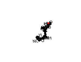 CC(C)(N/C=C(/C#CC1CN(c2cc3c(c4c2OCO4)CN(C2CCC(=O)NC2=O)C3=O)C1)C=N)C(=O)Nc1ccc(C#N)c2ccccc12